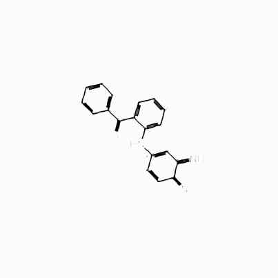 N=C1C=CC(Nc2ccccc2C(=O)c2ccccc2)=CC1=N